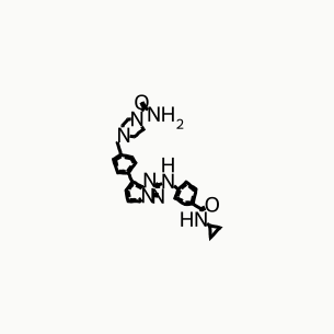 NC(=O)N1CCN(Cc2ccc(-c3cccn4nc(Nc5ccc(C(=O)NC6CC6)cc5)nc34)cc2)CC1